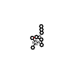 c1ccc(-c2nc(-c3ccccc3)nc(-n3c4ccccc4c4ccc5c(c6ccccc6n5-c5ccc6cc7ccccc7cc6c5)c43)n2)cc1